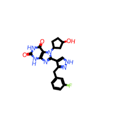 O=c1[nH]c(=O)c2c(nc(-c3c[nH]nc3Cc3cccc(F)c3)n2C2CCC(O)C2)[nH]1